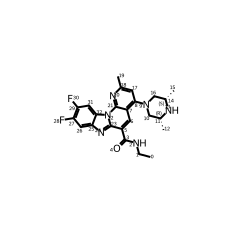 CCNC(=O)c1cc2c(N3C[C@@H](C)N[C@@H](C)C3)cc(C)nc2n2c1nc1cc(F)c(F)cc12